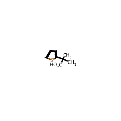 CC(C)(C(=O)O)c1cc[c]s1